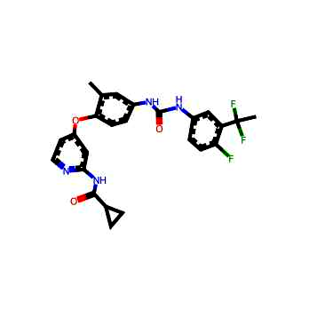 Cc1cc(NC(=O)Nc2ccc(F)c(C(C)(F)F)c2)ccc1Oc1ccnc(NC(=O)C2CC2)c1